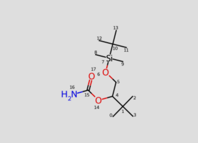 CC(C)(C)C(CO[Si](C)(C)C(C)(C)C)OC(N)=O